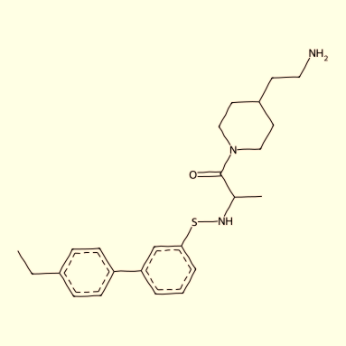 CCc1ccc(-c2cccc(SNC(C)C(=O)N3CCC(CCN)CC3)c2)cc1